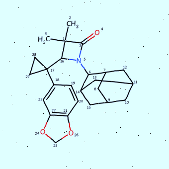 CC1(C)C(=O)N(C2C3CC4CC(C3)CC2C4)C1C1(c2ccc3c(c2)OCO3)CC1